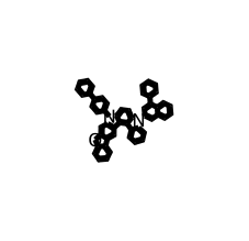 c1ccc(-c2ccc(-n3c4cc5oc6ccccc6c5cc4c4c5c6ccccc6n(-c6cc(-c7ccccc7)c7ccccc7c6)c5ccc43)cc2)cc1